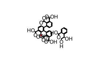 O=C(O)c1cccc(-c2ccc(C(=O)O)c(C(=O)O)c2-c2cccc(C(=O)O)c2C(=O)O)c1C(=O)O.O=C(O)c1ccccc1C(O)CO